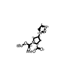 COC(=O)[C@@H]1CC(n2ccnn2)CN1C(=O)OC(C)(C)C